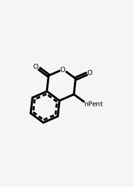 CCCCCC1C(=O)OC(=O)c2ccccc21